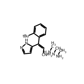 CC(C)(C)c1ccccc1C(=CC#N)c1ccn[nH]1.CN.CN.CN